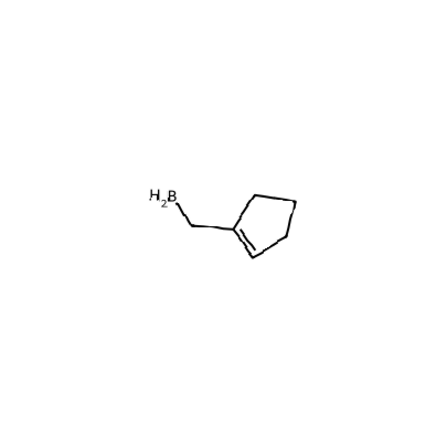 BCC1=CCCC1